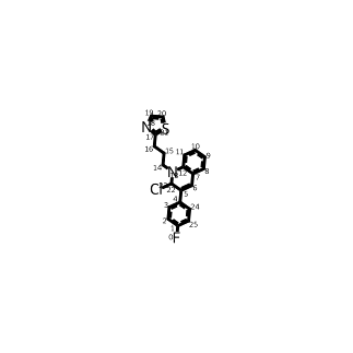 Fc1ccc(C2=Cc3ccccc3N(CCCc3nccs3)C2Cl)cc1